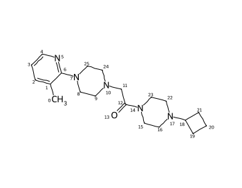 Cc1cccnc1N1CCN(CC(=O)N2CCN(C3CCC3)CC2)CC1